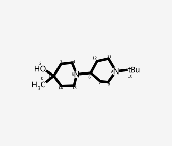 CC1(O)CCN(C2CCN(C(C)(C)C)CC2)CC1